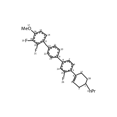 CCCC1CC=C(c2ccc(-c3ccc(-c4ccc(OC)c(F)c4F)cc3)cc2F)CC1